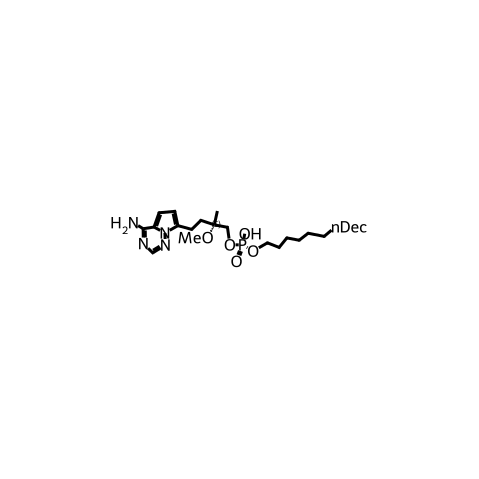 CCCCCCCCCCCCCCCCOP(=O)(O)OC[C@](C)(CCc1ccc2c(N)ncnn12)OC